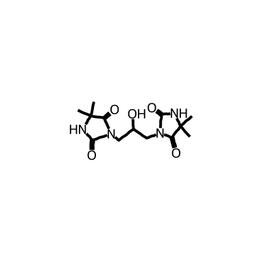 CC1(C)NC(=O)N(CC(O)CN2C(=O)NC(C)(C)C2=O)C1=O